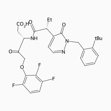 CC[C@@H](C(=O)N[C@@H](CC(=O)O)C(=O)COc1c(F)ccc(F)c1F)c1ccnn(Cc2ccccc2C(C)(C)C)c1=O